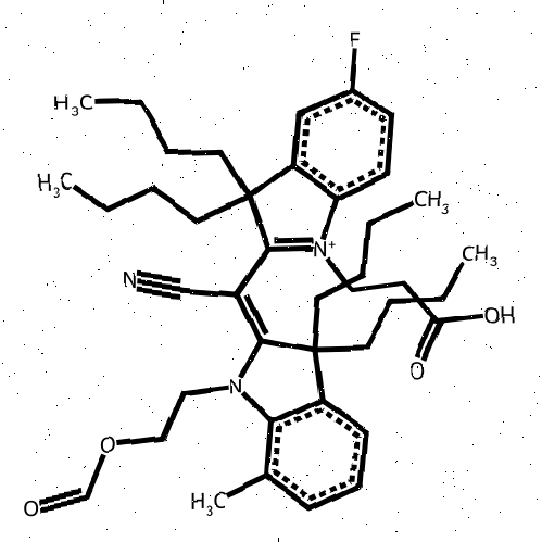 CCCCC1(CCCC)C(/C(C#N)=C2/N(CCOC=O)c3c(C)cccc3C2(CCCC)CCCC)=[N+](CCC(=O)O)c2ccc(F)cc21